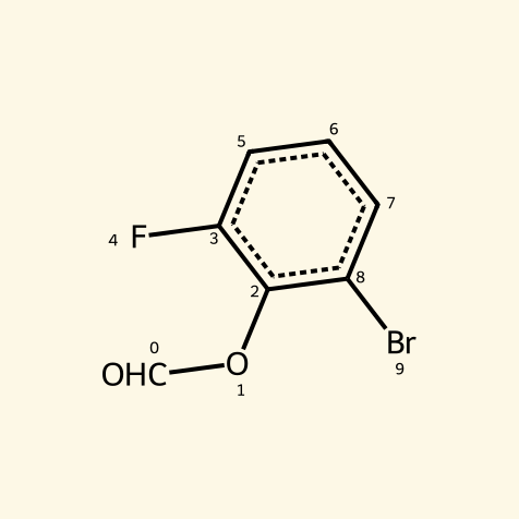 O=COc1c(F)cccc1Br